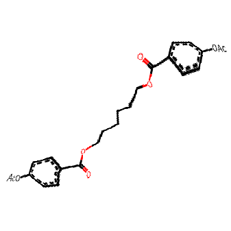 CC(=O)Oc1ccc(C(=O)OCCCCCCOC(=O)c2ccc(OC(C)=O)cc2)cc1